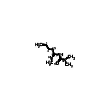 C=CCSC(=NC)NC(=O)N(C)C